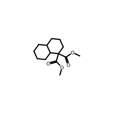 COC(=O)C1(C(=O)OC)CCCC2CCCCC21